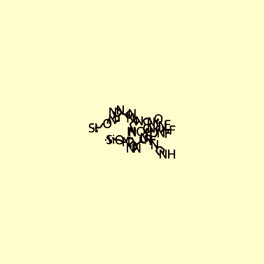 C[Si](C)(C)CCOCn1ccc2c(-c3cnn(C4(CC#N)CN(C5CCN(C(=O)c6cc(CC(C#N)(CC(=O)O)C7(n8cc(-c9ncnc%10c9ccn%10COCC[Si](C)(C)C)cn8)CN(C8CCNCC8)C7)nc(C(F)(F)F)n6)CC5)C4)c3)ncnc21